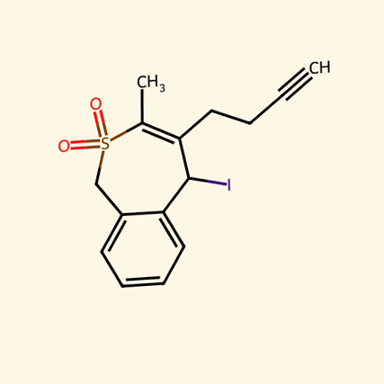 C#CCCC1=C(C)S(=O)(=O)Cc2ccccc2C1I